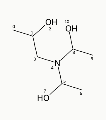 CC(O)CN(C(C)O)C(C)O